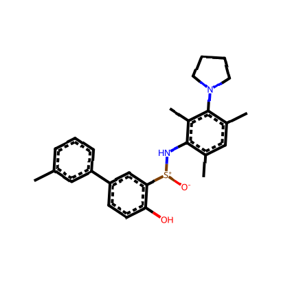 Cc1cccc(-c2ccc(O)c([S+]([O-])Nc3c(C)cc(C)c(N4CCCC4)c3C)c2)c1